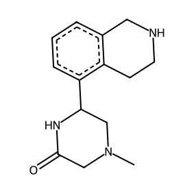 CN1CC(=O)NC(c2cccc3c2CCNC3)C1